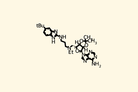 CCN(CCCNc1nc2cc(C(C)(C)C)ccc2[nH]1)C[C@H]1O[C@@H](n2cnc3c(N)ncnc32)[C@@H]2OC(C)(C)O[C@@H]21